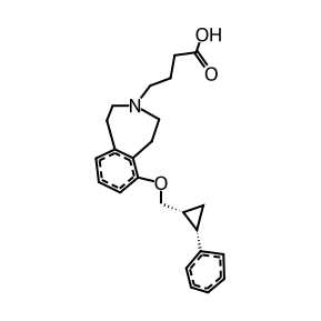 O=C(O)CCCN1CCc2cccc(OC[C@@H]3C[C@@H]3c3ccccc3)c2CC1